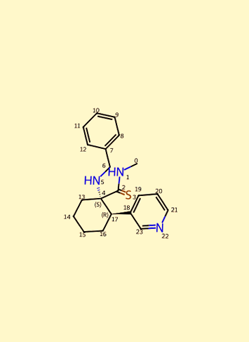 CNC(=S)[C@]1(NCc2ccccc2)CCCC[C@@H]1c1cccnc1